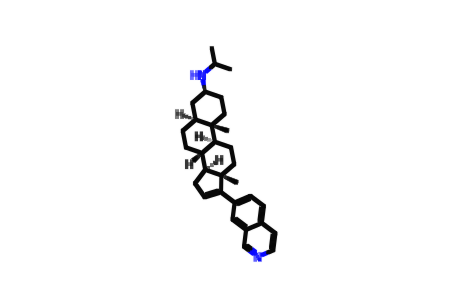 CC(C)N[C@H]1CC[C@@]2(C)[C@@H](CC[C@@H]3[C@@H]2CC[C@]2(C)C(c4ccc5ccncc5c4)=CC[C@@H]32)C1